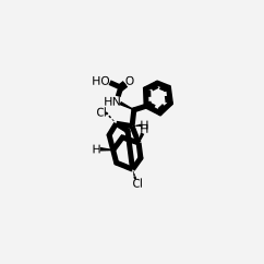 O=C(O)N[C@@H](c1ccccc1)[C@H]1[C@H]2C[C@@H]3C[C@](Cl)(C2)C[C@@]1(Cl)C3